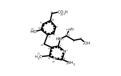 CCC[C@@H](CCO)Nc1nc(N)nc(C)c1Cc1ccc(CC(=O)O)cc1O